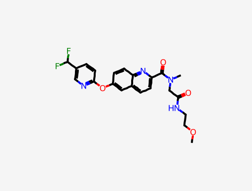 COCCNC(=O)CN(C)C(=O)c1ccc2cc(Oc3ccc(C(F)F)cn3)ccc2n1